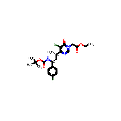 CCOC(=O)Cn1cnc([C@@H](C)C[C@H](NC(=O)OC(C)(C)C)c2ccc(Cl)cc2)c(Br)c1=O